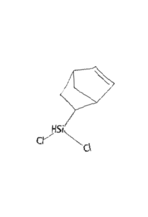 Cl[SiH](Cl)C1CC2C=CC1C2